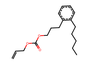 C=CCOC(=O)OCCCc1ccccc1CCCCC